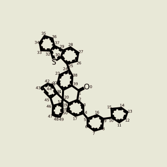 O=C1c2cc(-c3cccc(-c4ccccc4)c3)ccc2C2(c3ccc(-c4cccc5c4sc4ccccc45)cc31)c1ccccc1-c1ccccc12